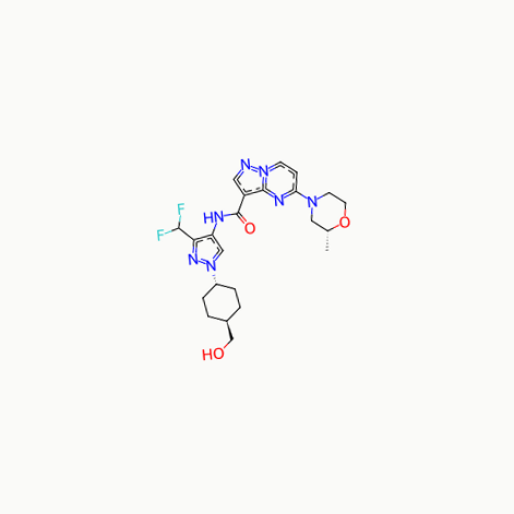 C[C@@H]1CN(c2ccn3ncc(C(=O)Nc4cn([C@H]5CC[C@H](CO)CC5)nc4C(F)F)c3n2)CCO1